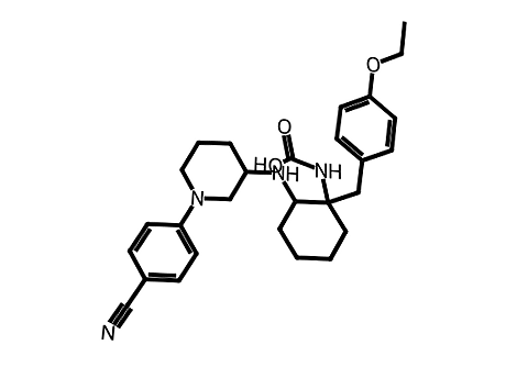 CCOc1ccc(CC2(NC(=O)O)CCCCC2NC2CCCN(c3ccc(C#N)cc3)C2)cc1